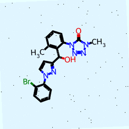 Cc1cccc(-n2nnn(C)c2=O)c1C(O)c1ccn(-c2ccccc2Br)n1